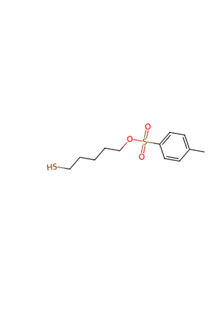 Cc1ccc(S(=O)(=O)OCCCCCS)cc1